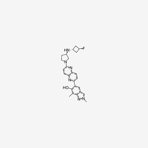 Cc1c(O)c(-c2ccc3nc(N4CC[C@@H](N[C@H]5C[C@H](F)C5)C4)ccc3n2)cc2cn(C)nc12